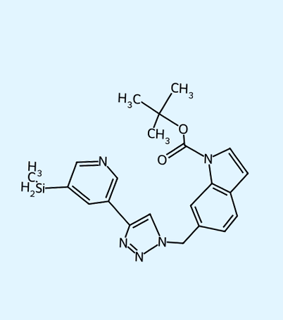 C[SiH2]c1cncc(-c2cn(Cc3ccc4ccn(C(=O)OC(C)(C)C)c4c3)nn2)c1